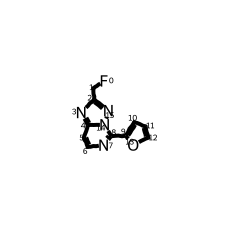 FCc1nc2ccnc(-c3ccco3)n2n1